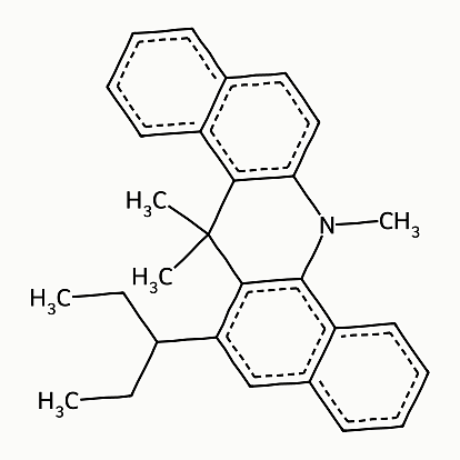 CCC(CC)c1cc2ccccc2c2c1C(C)(C)c1c(ccc3ccccc13)N2C